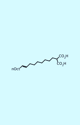 CCCCCCCCC=CCCCCCCCC(C(=O)O)C(=O)O